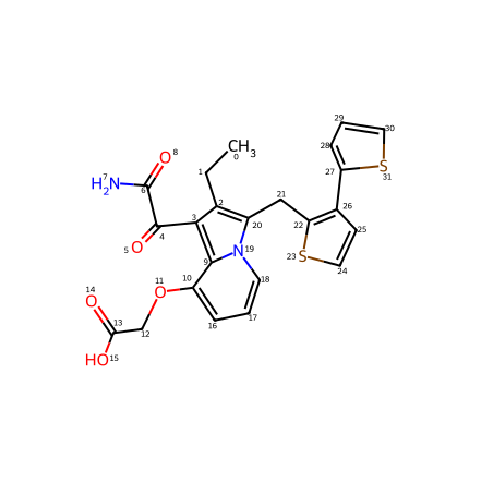 CCc1c(C(=O)C(N)=O)c2c(OCC(=O)O)cccn2c1Cc1sccc1-c1cccs1